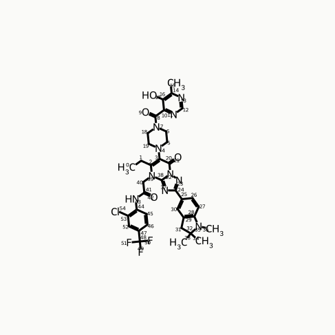 CCc1c(N2CCN(C(=O)c3ncnc(C)c3O)CC2)c(=O)n2nc(-c3ccc4c(c3)CC(C)(C)N4C)nc2n1CC(=O)Nc1ccc(C(F)(F)F)cc1Cl